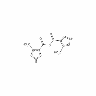 O=C(O)c1c[nH]cc1C(=O)OC(=O)c1c[nH]cc1C(=O)O